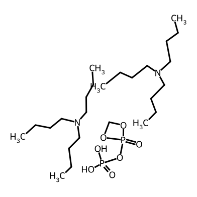 CCCCN(CCCC)CCCC.CCCCN(CCCC)CCCC.O=P(O)(O)OP1(=O)OCO1